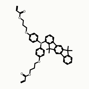 C=CC(=O)OCCCOc1ccc(N(c2ccc(OCCCOC(=O)C=C)cc2)c2cccc3c2C(C)(C)c2cc4c(cc2-3)C(C)(C)c2ccccc2-4)cc1